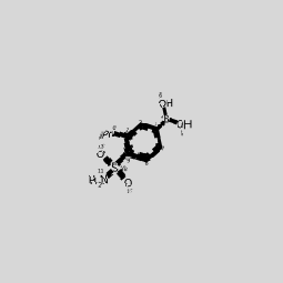 CC(C)c1cc(B(O)O)ccc1S(N)(=O)=O